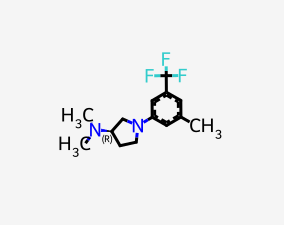 Cc1cc(N2CC[C@@H](N(C)C)C2)cc(C(F)(F)F)c1